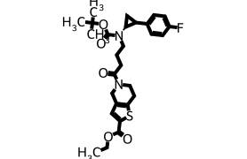 CCOC(=O)c1cc2c(s1)CCN(C(=O)CCCN(C(=O)OC(C)(C)C)[C@@H]1CC1c1ccc(F)cc1)C2